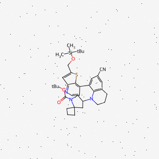 CC(C)(C)OC(=O)N1CC(N2CCCc3cc(C#N)cc(-c4ccnc5cc(CO[Si](C)(C)C(C)(C)C)sc45)c32)CC12CCC2